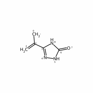 [CH2]C(=C)c1n[nH]c(=O)[nH]1